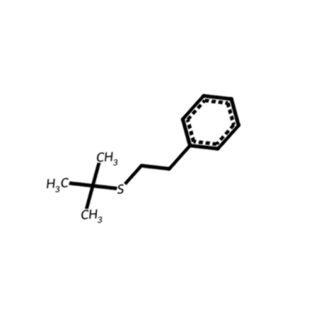 CC(C)(C)SCCc1ccccc1